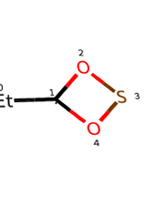 CC[C]1OSO1